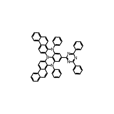 c1ccc(-c2nc(-c3ccccc3)nc(-c3cc4c5c(c3)N(c3ccccc3)c3c(ccc6c3ccc3ccccc36)B5c3ccc5c(ccc6ccccc65)c3N4c3ccccc3)n2)cc1